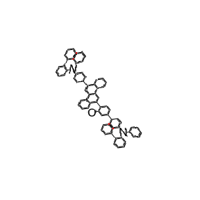 c1ccc(-c2ccccc2N(c2ccccc2)c2ccc(-c3ccc4c(c3)Oc3cccc5c3c-4cc3c4ccccc4c(-c4ccc(N(c6ccccc6)c6ccccc6-c6ccccc6)cc4)cc53)cc2)cc1